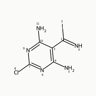 N=C(I)c1c(N)nc(Cl)nc1N